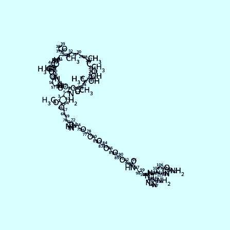 CO[C@@H]1C[C@H](C[C@@H](N)[C@@H]2CC(=O)[C@H](C)/C=C(\C)[C@@H](O)[C@@H](O)C(=O)[C@H](C)C[C@H](C)/C=C/C=C/C=C(\C)[C@@H](c3ccco3)C[C@@H]3CC[C@@H](C)[C@@](O)(O3)C(=O)C(=O)N3CCCC[C@H]3C(=O)O2)CC[C@H]1OCCCCc1cn(CCOCCOCCOCCOCCOCCOCCC(=O)NCCCCn2nc(-c3ccc4oc(N)nc4c3)c3c(N)ncnc32)nn1